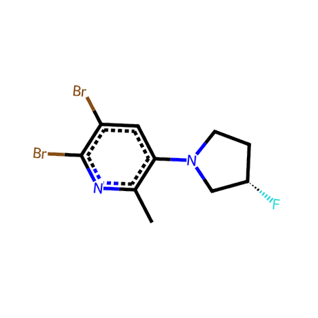 Cc1nc(Br)c(Br)cc1N1CC[C@H](F)C1